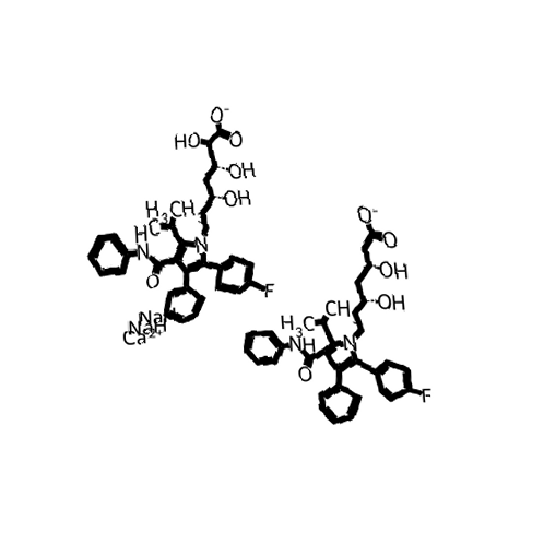 CC(C)c1c(C(=O)Nc2ccccc2)c(-c2ccccc2)c(-c2ccc(F)cc2)n1CC[C@@H](O)C[C@@H](O)C(O)C(=O)[O-].CC(C)c1c(C(=O)Nc2ccccc2)c(-c2ccccc2)c(-c2ccc(F)cc2)n1CC[C@@H](O)C[C@@H](O)CC(=O)[O-].[Ca+2].[NaH].[NaH]